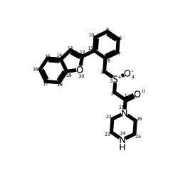 O=C(C[S+]([O-])Cc1ccccc1-c1cc2ccccc2o1)N1CCNCC1